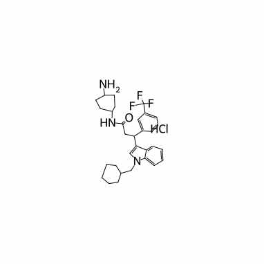 Cl.NC1CCC(NC(=O)CC(c2cccc(C(F)(F)F)c2)c2cn(CC3CCCCC3)c3ccccc23)CC1